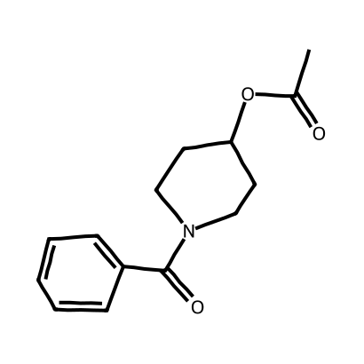 CC(=O)OC1CCN(C(=O)c2ccccc2)CC1